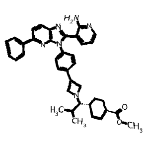 COC(=O)[C@H]1CC[C@H](C(C(C)C)N2CC(c3ccc(-n4c(-c5cccnc5N)nc5ccc(-c6ccccc6)nc54)cc3)C2)CC1